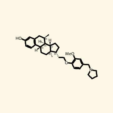 COc1cc(CN2CCCC2)ccc1OCC[C@H]1CC[C@H]2[C@@H]3[C@H](C)Cc4cc(O)ccc4[C@H]3CC[C@]12C